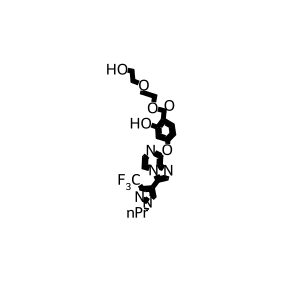 CCCn1cc(-c2cnc3c(Oc4ccc(C(=O)OCCOCCO)c(O)c4)nccn23)c(C(F)(F)F)n1